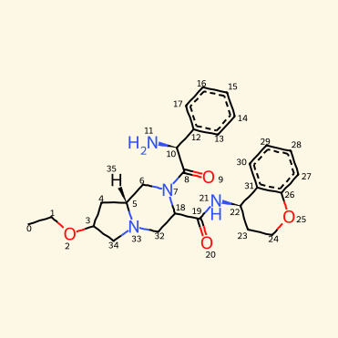 CCOC1C[C@@H]2CN(C(=O)[C@@H](N)c3ccccc3)C(C(=O)N[C@@H]3CCOc4ccccc43)CN2C1